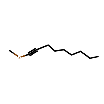 [CH2]CCCCCCC#CSC